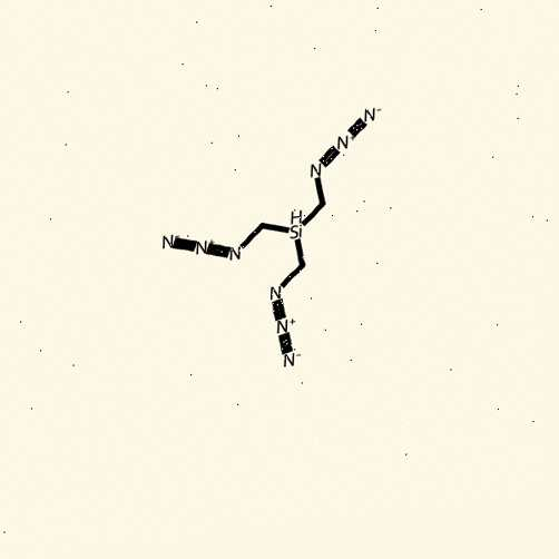 [N-]=[N+]=NC[SiH](CN=[N+]=[N-])CN=[N+]=[N-]